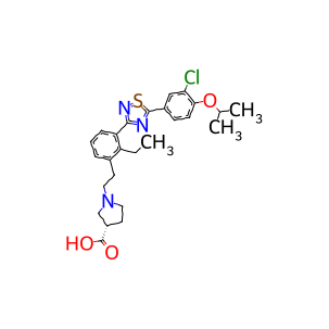 CCc1c(CCN2CC[C@H](C(=O)O)C2)cccc1-c1nsc(-c2ccc(OC(C)C)c(Cl)c2)n1